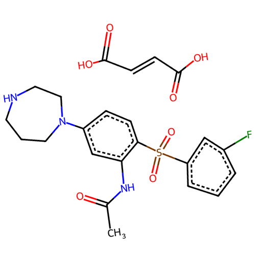 CC(=O)Nc1cc(N2CCCNCC2)ccc1S(=O)(=O)c1cccc(F)c1.O=C(O)C=CC(=O)O